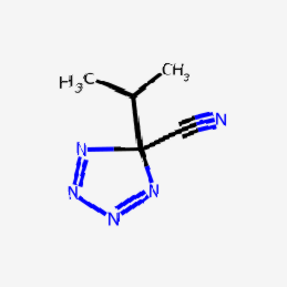 CC(C)C1(C#N)N=NN=N1